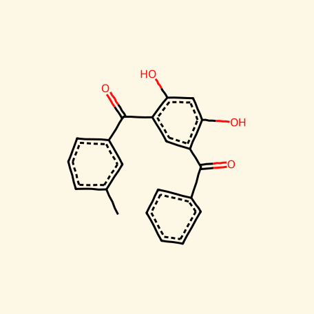 Cc1cccc(C(=O)c2cc(C(=O)c3ccccc3)c(O)cc2O)c1